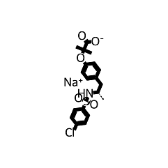 C[C@@H](Cc1ccc(OC(C)(C)C(=O)[O-])cc1)NS(=O)(=O)c1ccc(Cl)cc1.[Na+]